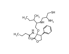 CCCC(=O)N[C@@]1(OCC(NCC(N)CS)C(C)CC)C(=O)OC[C@@H]1c1ccccc1